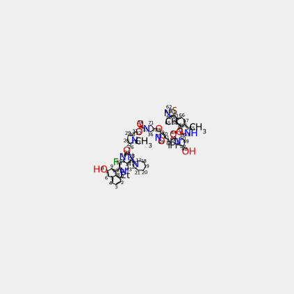 CCc1cccc2cc(O)cc(-c3ncc4c(N5CCCCCC5)nc(OC[C@@H]5CC[C@@H](COC(=O)N6CC(Oc7cc([C@H](C(=O)N8C[C@H](O)C[C@H]8C(=O)N[C@@H](C)c8ccc(-c9scnc9C)cc8)C(C)C)on7)C6)N5C)nc4c3F)c12